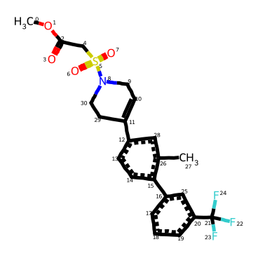 COC(=O)CS(=O)(=O)N1CC=C(c2ccc(-c3cccc(C(F)(F)F)c3)c(C)c2)CC1